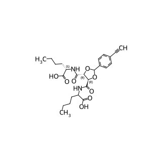 C#Cc1ccc(C2O[C@@H](C(=O)NC(CCCC)C(=O)O)[C@H](C(=O)N[C@@H](CCCC)C(=O)O)O2)cc1